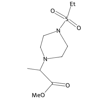 CCS(=O)(=O)N1CCN(C(C)C(=O)OC)CC1